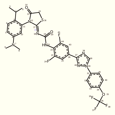 CC(C)c1ccc(N(C)C)cc1N1C(=O)CS/C1=N\C(=O)Nc1c(F)cc(-c2ncn(-c3ccc(OC(F)(F)F)cc3)n2)cc1F